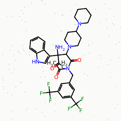 CC(=O)N(Cc1cc(C(F)(F)F)cc(C(F)(F)F)c1)C(=O)C(N1CCC(N2CCCCC2)CC1)C(N)(C(C)=O)c1c[nH]c2ccccc12